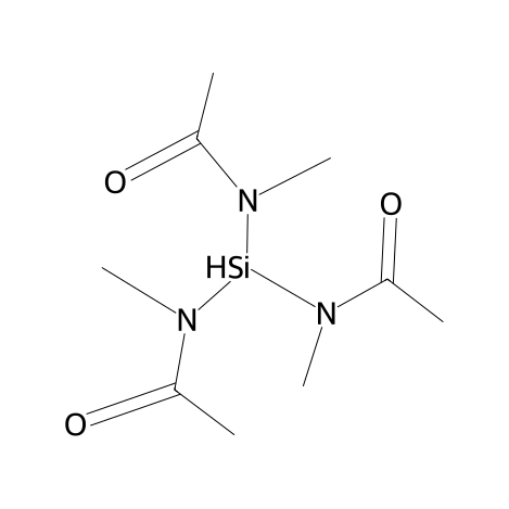 CC(=O)N(C)[SiH](N(C)C(C)=O)N(C)C(C)=O